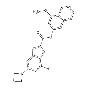 NSc1cc(OC(=O)c2cc3c(F)cc(N4CCC4)cc3o2)cc2ccccc12